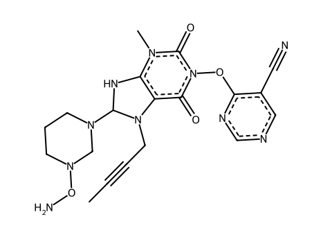 CC#CCN1c2c(n(C)c(=O)n(Oc3ncncc3C#N)c2=O)NC1N1CCCN(ON)C1